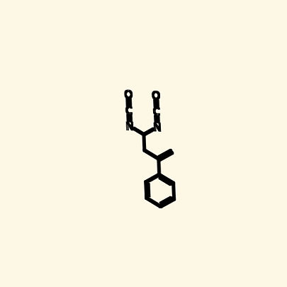 C=C(CC(N=C=O)N=C=O)c1ccccc1